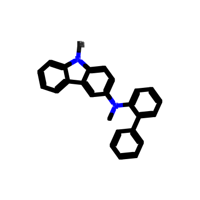 CCn1c2ccccc2c2cc(N(C)c3ccccc3-c3ccccc3)ccc21